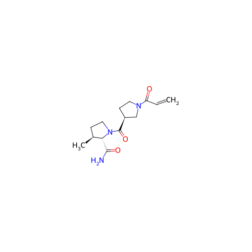 C=CC(=O)N1CC[C@H](C(=O)N2CC[C@H](C)[C@H]2C(N)=O)C1